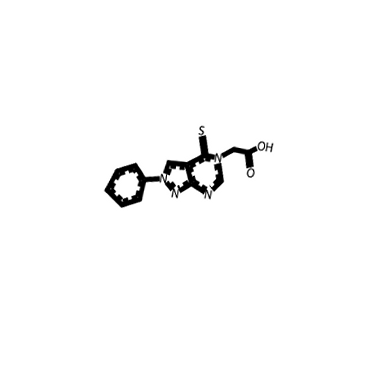 O=C(O)Cn1cnc2nn(-c3ccccc3)cc2c1=S